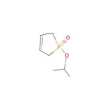 CC(C)OP1(=O)CC=CC1